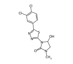 CN1CC(O)N(c2nnc(-c3ccc(Cl)c(Cl)c3)s2)C1=O